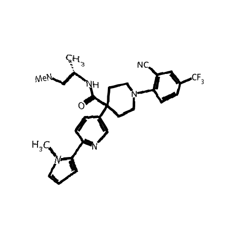 CNC[C@H](C)NC(=O)C1(c2ccc(-c3cccn3C)nc2)CCN(c2ccc(C(F)(F)F)cc2C#N)CC1